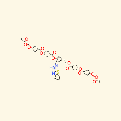 C=CC(=O)OCOc1ccc(C(=O)OC2CCC(C(=O)OCCc3ccc(OC(=O)C4CCC(OC(=O)c5ccc(OCOC(=O)C=C)cc5)CC4)c(/C=N/Nc4nc5ccccc5s4)c3)CC2)cc1